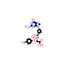 COc1nc(N)nc2c1ncn2[C@H]1C=C[C@@H](COP(=O)(Oc2ccc(Cl)cc2)N(C)[C@@H](C)C(=O)O)C1